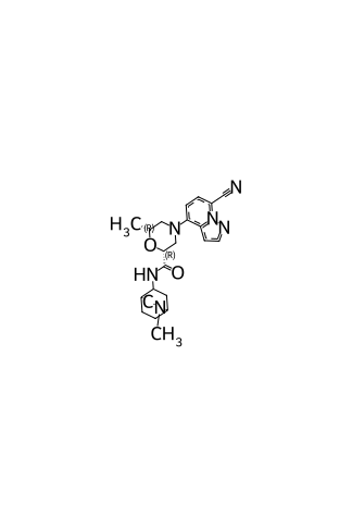 C[C@@H]1CN(c2ccc(C#N)n3nccc23)C[C@H](C(=O)NC2CC3CCC2CN3C)O1